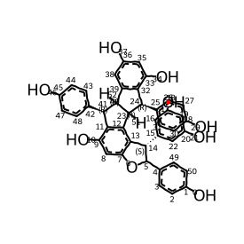 Oc1ccc(C2Oc3cc(O)c4c(c3[C@@H]2c2cc(O)cc(O)c2)[C@H]2[C@H](c3ccc(O)cc3)c3c(O)cc(O)cc3[C@H]2[C@@H]4c2ccc(O)cc2)cc1